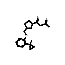 CC(=O)CC(=O)C1CCC(COc2ccccc2C2(C)CC2)C1